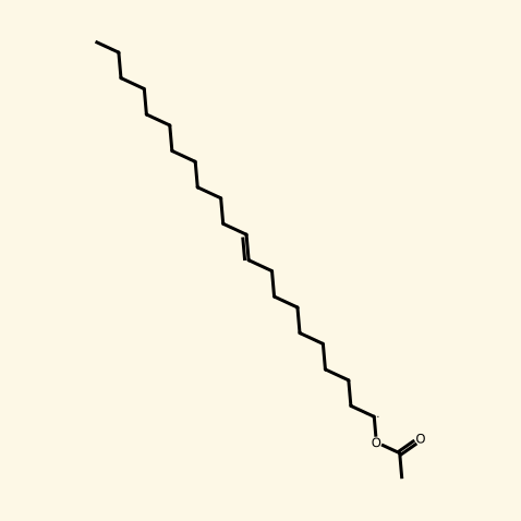 CCCCCCCCCCCC=CCCCCCCCC[CH]OC(C)=O